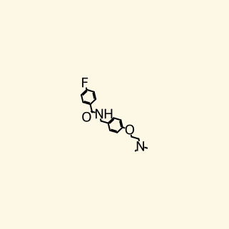 CN(C)CCOc1ccc(CNC(=O)c2ccc(F)cc2)cc1